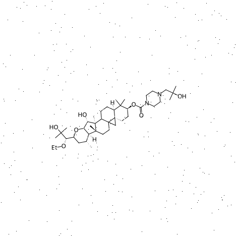 CCO[C@@H](C1C[C@@H](C)[C@H]2C(O1)[C@H](O)[C@@]1(C)C3CC[C@H]4C(C)(C)[C@@H](OC(=O)N5CCN(CC(C)(C)O)CC5)CC[C@@]45CC35CC[C@]21C)C(C)(C)O